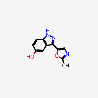 Cc1ncc(-c2n[nH]c3ccc(O)cc23)o1